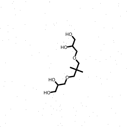 CC(C)(COCC(O)CO)COCC(O)CO